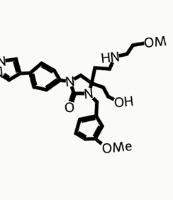 COCCNCCC1(CCO)CN(c2ccc(-c3cn[nH]c3)cc2)C(=O)N1Cc1cccc(OC)c1